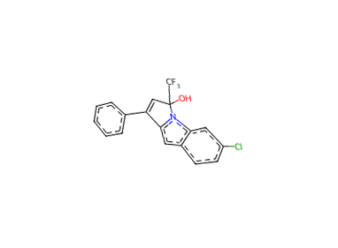 OC1(C(F)(F)F)C=C(c2ccccc2)c2cc3ccc(Cl)cc3n21